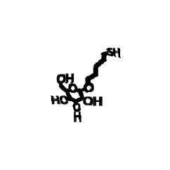 OCC1O[C@@H](OCCCCCS)C(O)C(O)[C@H]1O